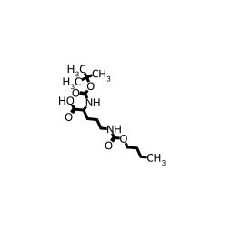 CCCCOC(=O)NCCCC(NC(=O)OC(C)(C)C)C(=O)O